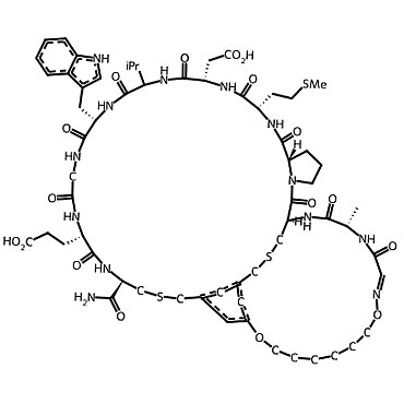 CSCC[C@@H]1NC(=O)[C@@H]2CCCN2C(=O)[C@@H]2CSCc3cc(cc(c3)OCCCCCCO/N=C/C(=O)N[C@@H](C)C(=O)N2)CSC[C@@H](C(N)=O)NC(=O)[C@H](CCC(=O)O)NC(=O)CNC(=O)[C@H](Cc2c[nH]c3ccccc23)NC(=O)C(C(C)C)NC(=O)[C@H](CC(=O)O)NC1=O